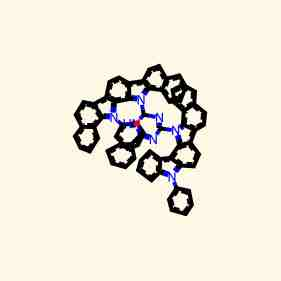 c1ccc(C2=NC(n3c4c5ccccc5ccc4c4ccc5c(c6ccccc6n5-c5ccccc5)c43)=NC(n3c4c5ccccc5ccc4c4ccc5c6ccc7ccccc7c6n(-c6ccccc6)c5c43)N2)cc1